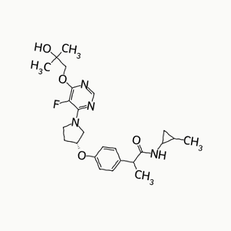 CC(C(=O)NC1CC1C)c1ccc(O[C@@H]2CCN(c3ncnc(OCC(C)(C)O)c3F)C2)cc1